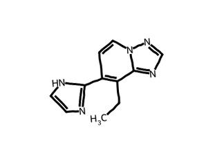 CCc1c(-c2ncc[nH]2)ccn2ncnc12